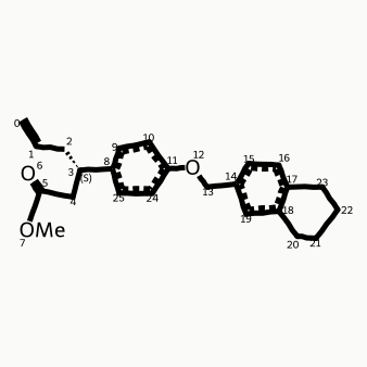 C=CC[C@@H](CC(=O)OC)c1ccc(OCc2ccc3c(c2)CCCC3)cc1